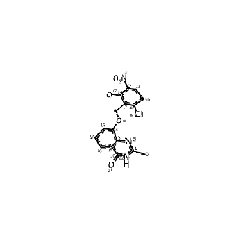 Cc1nc2c(OCc3c(Cl)ccc([N+](=O)[O-])c3Cl)cccc2c(=O)[nH]1